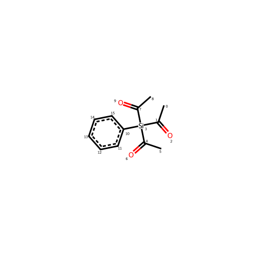 CC(=O)[Si](C(C)=O)(C(C)=O)c1ccccc1